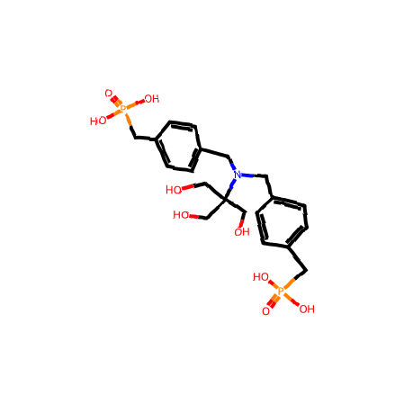 O=P(O)(O)Cc1ccc(CN(Cc2ccc(CP(=O)(O)O)cc2)C(CO)(CO)CO)cc1